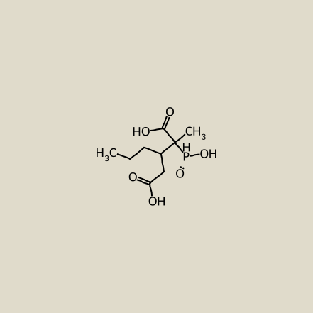 CCCC(CC(=O)O)C(C)(C(=O)O)[PH](=O)O